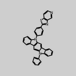 c1ccc(-n2c3ccccc3c3cc4c(cc32)c2ccccc2n4-c2ccc(-c3nc4cnccc4s3)cc2)cc1